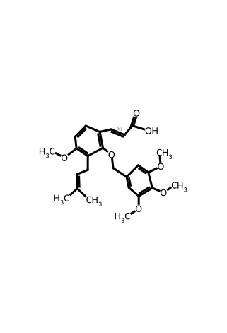 COc1ccc(/C=C/C(=O)O)c(OCc2cc(OC)c(OC)c(OC)c2)c1CC=C(C)C